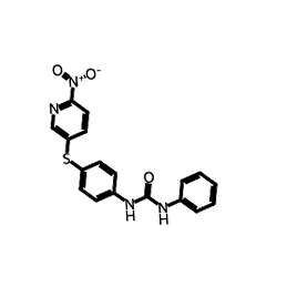 O=C(Nc1ccccc1)Nc1ccc(Sc2ccc([N+](=O)[O-])nc2)cc1